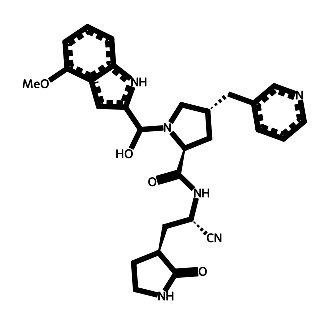 COc1cccc2[nH]c(C(O)N3C[C@H](Cc4cccnc4)C[C@H]3C(=O)N[C@H](C#N)C[C@@H]3CCNC3=O)cc12